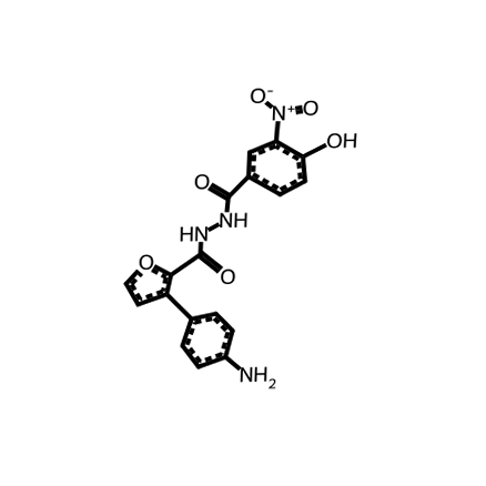 Nc1ccc(-c2ccoc2C(=O)NNC(=O)c2ccc(O)c([N+](=O)[O-])c2)cc1